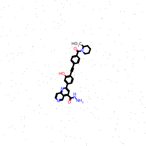 NNC(=O)c1cc(-c2ccc(C#Cc3ccc(C(=O)N4CCCCC4C(=O)O)cc3)c(O)c2)nc2ccncc12